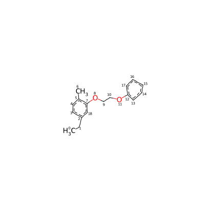 CCc1ccc(C)c(OCCOc2ccccc2)c1